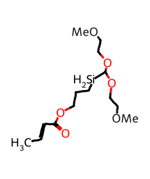 CC=CC(=O)OCCC[SiH2]C(OCCOC)OCCOC